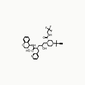 C#CC(C)(C)N1CCN(C[C@@H](O)C[C@@H](Cc2cccnc2)C(=O)NC2c3ccccc3OC[C@H]2O)[C@H](C(=O)NCC(F)(F)F)C1